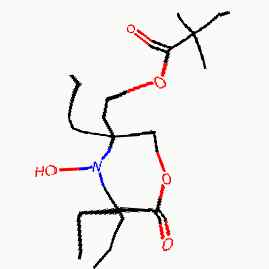 CCC1(COC(=O)C(C)(C)C)COC(=O)C(CC)(CC)N1O